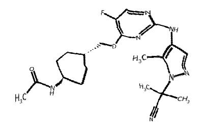 CC(=O)N[C@H]1CC[C@H](COc2nc(Nc3cnn(C(C)(C)C#N)c3C)ncc2F)CC1